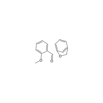 COc1ccccc1C=O.c1cc2cc(c1)OC2